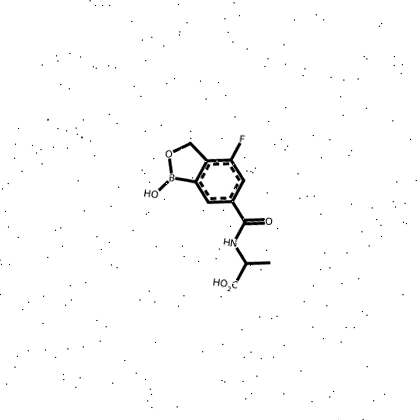 CC(NC(=O)c1cc(F)c2c(c1)B(O)OC2)C(=O)O